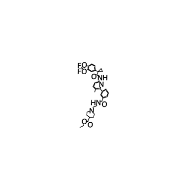 CCOC(=O)C1CCN(CCNC(=O)c2cccc(-c3nc(NC(=O)C4(c5ccc6c(c5)OC(F)(F)O6)CC4)ccc3C)c2)CC1